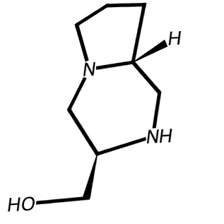 OC[C@H]1CN2CCC[C@@H]2CN1